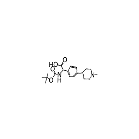 CN1CCC(c2ccc(C(NC(=O)OC(C)(C)C)C(=O)O)cc2)CC1